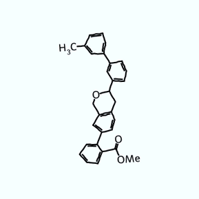 COC(=O)c1ccccc1-c1ccc2c(c1)COC(c1cccc(-c3cccc(C)c3)c1)C2